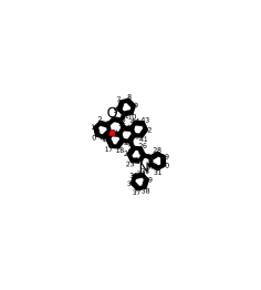 c1ccc(-c2oc3ccccc3c2-c2c3ccccc3c(-c3ccc4c(c3)c3ccccc3n4-c3ccccc3)c3ccccc23)cc1